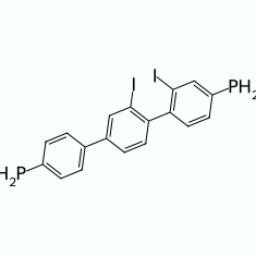 Pc1ccc(-c2ccc(-c3ccc(P)cc3I)c(I)c2)cc1